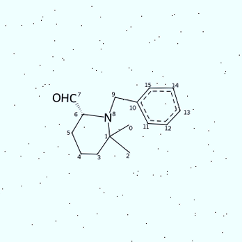 CC1(C)CCC[C@H](C=O)N1Cc1ccccc1